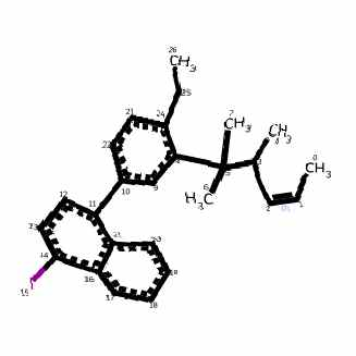 C/C=C\C(C)C(C)(C)c1cc(-c2ccc(I)c3ccccc23)ccc1CC